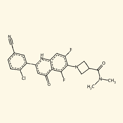 CN(C)C(=O)C1CN(c2c(F)cc3[nH]c(-c4cc(C#N)ccc4Cl)cc(=O)c3c2F)C1